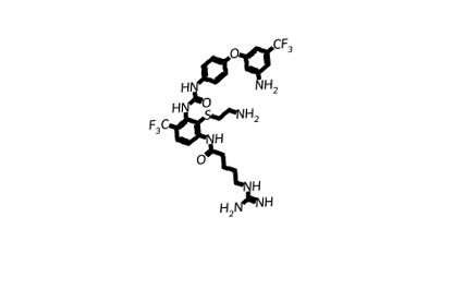 N=C(N)NCCCCC(=O)Nc1ccc(C(F)(F)F)c(NC(=O)Nc2ccc(Oc3cc(N)cc(C(F)(F)F)c3)cc2)c1SCCN